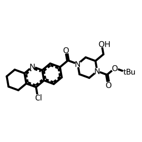 CC(C)(C)OC(=O)N1CCN(C(=O)c2ccc3c(Cl)c4c(nc3c2)CCCC4)CC1CO